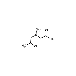 [CH2]N(CC(C)O)CC(C)O